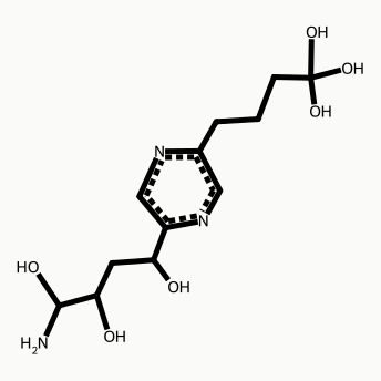 NC(O)C(O)CC(O)c1cnc(CCCC(O)(O)O)cn1